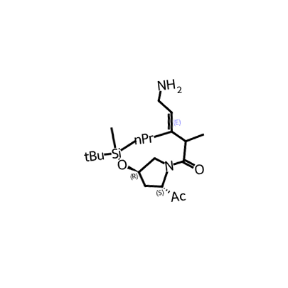 CCC/C(=C\CN)C(C)C(=O)N1C[C@H](O[Si](C)(C)C(C)(C)C)C[C@H]1C(C)=O